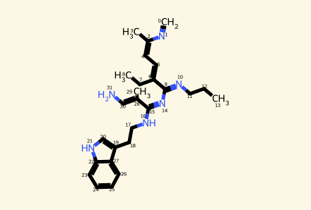 C=N\C(C)=C/C=C(CC)/C(=N/CCC)/N=C(NCCc1c[nH]c2ccccc12)\C(C)=C\N